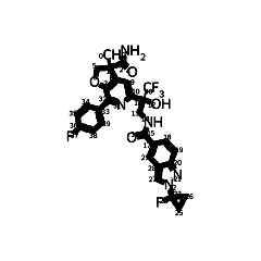 C[C@]1(C(N)=O)COc2c1cc([C@@](O)(CNC(=O)c1ccc3nn(C4(F)CC4)cc3c1)C(F)(F)F)nc2-c1ccc(F)cc1